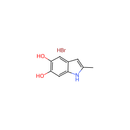 Br.Cc1cc2cc(O)c(O)cc2[nH]1